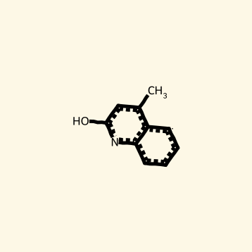 Cc1cc(O)nc2ccc[c]c12